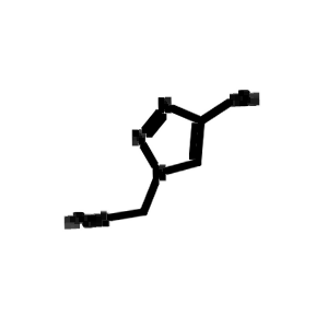 CCCCCCn1cc(CCCC)nn1